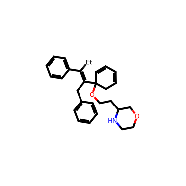 CCC(=C(Cc1ccccc1)C1(OCCC2COCCN2)C=CC=CC1)c1ccccc1